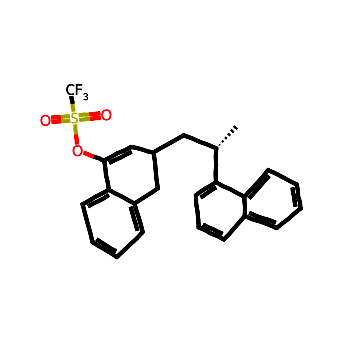 C[C@@H](CC1C=C(OS(=O)(=O)C(F)(F)F)c2ccccc2C1)c1cccc2ccccc12